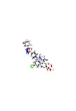 O=C(O)c1cccc(C2(n3c(=O)n(-c4ccc(-c5nnc(C6CCOCC6)o5)cc4)c4cc(Cl)ccc43)CC2)c1